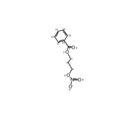 O=C(OCCCO[N+](=O)[O-])c1ccccc1